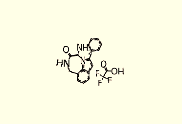 N[C@@H]1C(=O)NCc2cccc3cc(-c4ccccc4)n1c23.O=C(O)C(F)(F)F